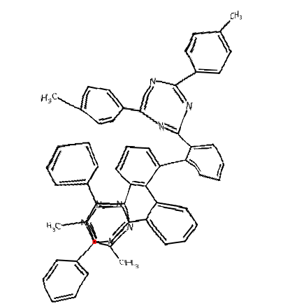 Cc1ccc(-c2nc(-c3ccc(C)cc3)nc(-c3ccccc3-c3cccc(-c4nc(C)cc(C)n4)c3-c3ccccc3-c3nc(-c4ccccc4)nc(-c4ccccc4)n3)n2)cc1